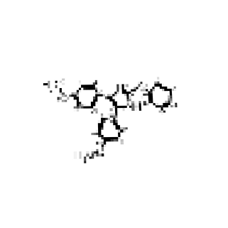 COc1ccc(-c2nc(Sc3ccccc3)[nH]c2-c2ccc(OC)cc2)cc1